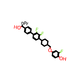 CCCC(O)c1ccc(-c2ccc(C3CCC(COc4ccc(O)c(F)c4)CC3)c(F)c2F)cc1